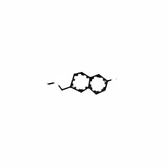 Oc1ccc2cc(CNI)ccc2c1